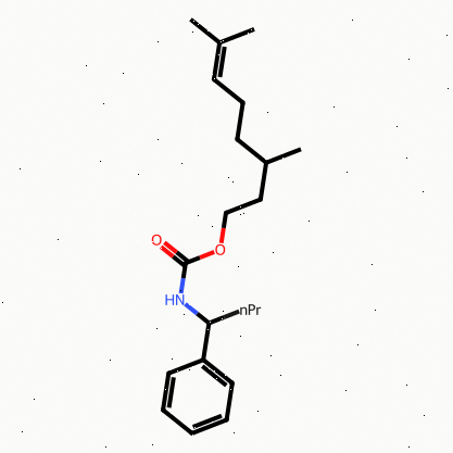 CCCC(NC(=O)OCCC(C)CCC=C(C)C)c1ccccc1